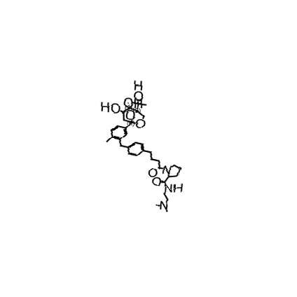 Cc1ccc([C@]23CC(O)[C@H](O)[C@](C(C)(C)O)(CO2)O3)cc1Cc1ccc(CCCC(=O)N2CCCC2C(=O)NCCN(C)C)cc1